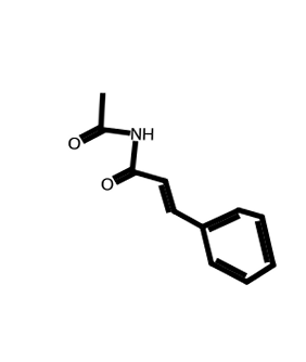 CC(=O)NC(=O)/C=C/c1ccccc1